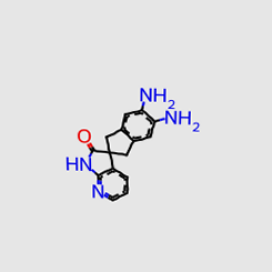 Nc1cc2c(cc1N)CC1(C2)C(=O)Nc2ncccc21